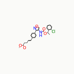 COC(=O)CCC=Cc1ccc(-c2nocc2NC(=O)OC(C)c2ccccc2Cl)cc1